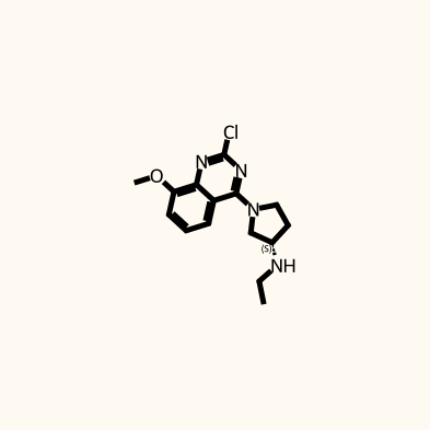 CCN[C@H]1CCN(c2nc(Cl)nc3c(OC)cccc23)C1